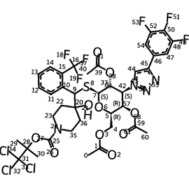 CC(=O)OC[C@H]1O[C@@H](SC(c2ccccc2C(F)(F)F)C2(O)CCN(C(=O)OC(C)(C)C(Cl)(Cl)Cl)CC2)[C@H](OC(C)=O)[C@@H](n2cc(-c3cc(F)c(F)c(F)c3)nn2)[C@H]1OC(C)=O